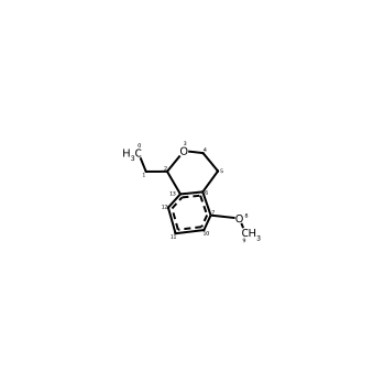 CCC1OCCc2c(OC)cccc21